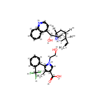 C=C[C@H]1C[N@]2CC[C@H]1C[C@H]2[C@H](O)c1ccnc2ccccc12.Cc1c(C(=O)O)cn(CCO)c1-c1ccccc1C(F)(F)F